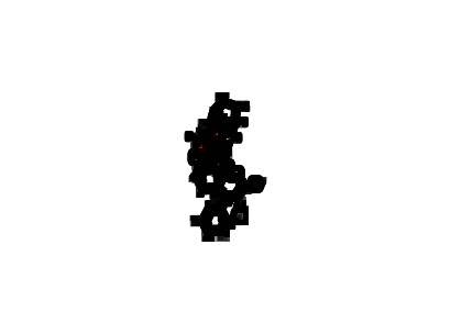 C[C@@H](Oc1ccc2c(-c3ccccc3Cl)cc(=O)oc2c1)C(=C=O)N1CC2CCC(C1)N2c1ccccc1